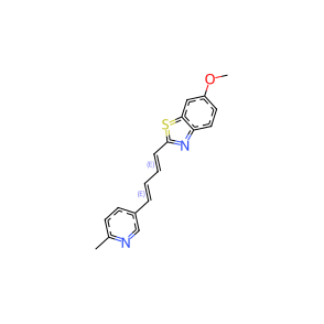 COc1ccc2nc(/C=C/C=C/c3ccc(C)nc3)sc2c1